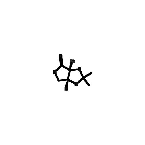 CC[C@@]12OC(C)(C)O[C@@H]1COC2=O